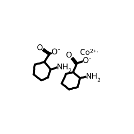 NC1CCCCC1C(=O)[O-].NC1CCCCC1C(=O)[O-].[Co+2]